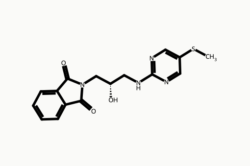 CSc1cnc(NC[C@H](O)CN2C(=O)c3ccccc3C2=O)nc1